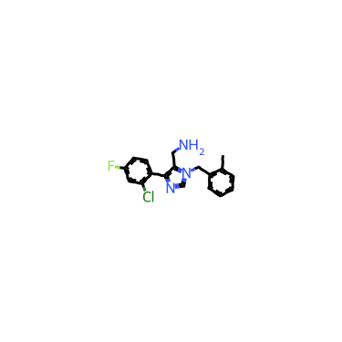 Cc1ccccc1Cn1cnc(-c2ccc(F)cc2Cl)c1CN